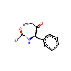 CCC(=O)N[C@@H](C(=O)C(C)C)c1ccccc1